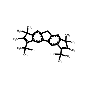 CC1=C(C(C)(C)C)c2cc3c(cc2C1(C)C)Cc1cc2c(cc1-3)C(C(C)(C)C)=C(C)C2(C)C